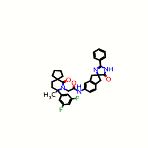 C[C@@]1(c2cc(F)cc(F)c2)CCC2(CCCC2)C(=O)N1CC(=O)Nc1ccc2c(c1)CC1(C2)N=C(c2ccccc2)NC1=O